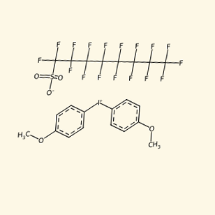 COc1ccc([I+]c2ccc(OC)cc2)cc1.O=S(=O)([O-])C(F)(F)C(F)(F)C(F)(F)C(F)(F)C(F)(F)C(F)(F)C(F)(F)C(F)(F)F